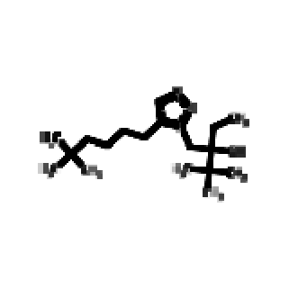 CCC(O)(Cn1nncc1CCCCC(C)(C)C)C(C)(C)C